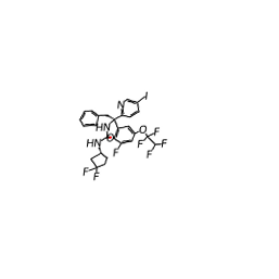 O=C(N[C@H]1CCC(F)(F)C1)N[C@@](Cc1ccccc1)(c1cc(F)cc(OC(F)(F)C(F)F)c1)c1ccc(I)cn1